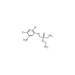 CCOP(=O)(CC)COc1cc(N)c(F)cc1Cl